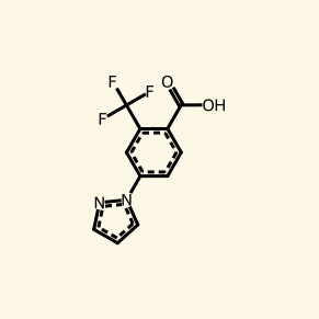 O=C(O)c1ccc(-n2cccn2)cc1C(F)(F)F